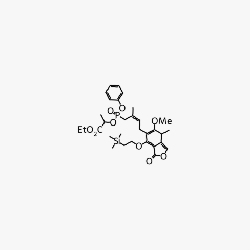 CCOC(=O)C(C)OP(=O)(CC(C)=CCC1=C(OC)C(C)C2=COC(=O)C2=C1OCC[Si](C)(C)C)Oc1ccccc1